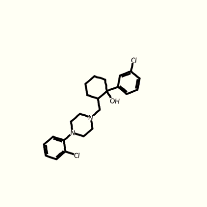 OC1(c2cccc(Cl)c2)CCCCC1CN1CCN(c2ccccc2Cl)CC1